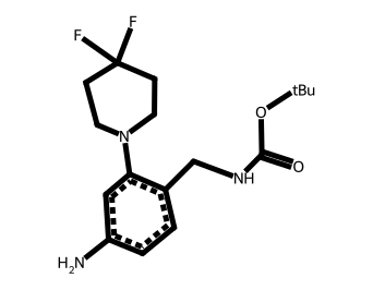 CC(C)(C)OC(=O)NCc1ccc(N)cc1N1CCC(F)(F)CC1